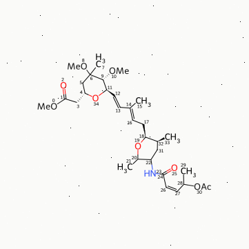 COC(=O)C[C@@H]1CC(C)(OC)[C@H](OC)[C@@H](/C=C/C(C)=C/C[C@@H]2OC(C)C(NC(=O)/C=C\C(C)OC(C)=O)C[C@@H]2C)O1